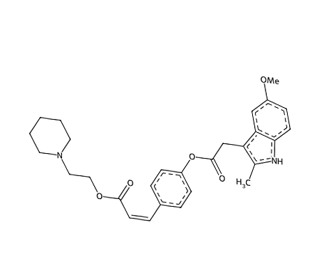 COc1ccc2[nH]c(C)c(CC(=O)Oc3ccc(/C=C\C(=O)OCCN4CCCCC4)cc3)c2c1